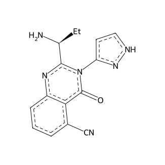 CC[C@H](N)c1nc2cccc(C#N)c2c(=O)n1-c1cc[nH]n1